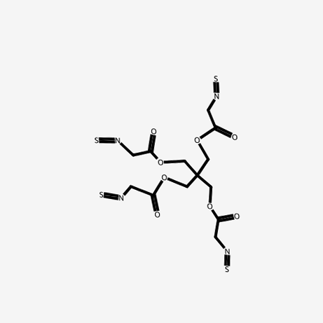 O=C(CN=S)OCC(COC(=O)CN=S)(COC(=O)CN=S)COC(=O)CN=S